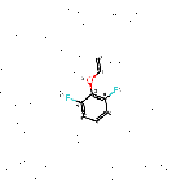 C=COc1c(F)cccc1F